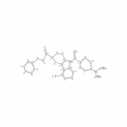 CCCCN(CCCC)c1ccc(C(=O)n2c3c(c4c(F)cccc42)CC(C(=O)OCc2ccccc2)CC3)cc1